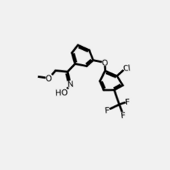 COCC(=NO)c1cccc(Oc2ccc(C(F)(F)F)cc2Cl)c1